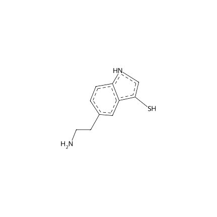 NCCc1ccc2[nH]cc(S)c2c1